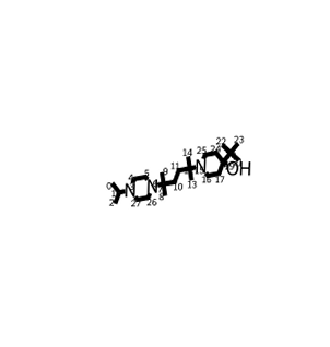 CC(C)N1CCN(C(C)(C)CCC(C)(C)N2CCC(O)(C(C)(C)C)CC2)CC1